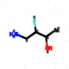 CC(=O)C(O)C(F)CN